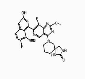 C#Cc1c(F)ccc2cc(O)cc(-c3ncc4c(N5CCCC6(CNC(=O)N6)C5)nc(OC)nc4c3F)c12